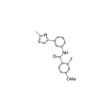 COc1ccc(C(=O)Nc2cccc(-c3csc(C)n3)c2)c(F)c1